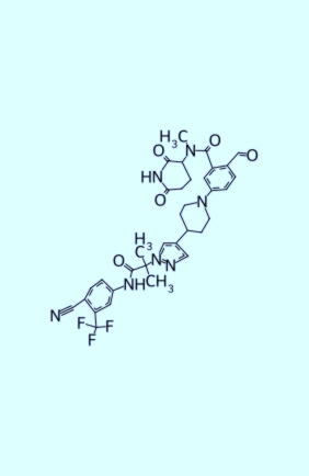 CN(C(=O)c1cc(N2CCC(c3cnn(C(C)(C)C(=O)Nc4ccc(C#N)c(C(F)(F)F)c4)c3)CC2)ccc1C=O)C1CCC(=O)NC1=O